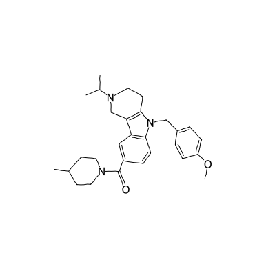 COc1ccc(Cn2c3c(c4cc(C(=O)N5CCC(C)CC5)ccc42)CN(C(C)C)CC3)cc1